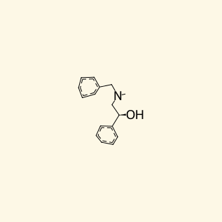 CN(Cc1ccccc1)C[C@@H](O)c1ccccc1